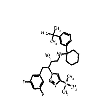 CC(C)(C)c1cccc(C2(NC[C@@H](O)[C@H](Cc3cc(F)cc(F)c3)n3cc([Si](C)(C)C)nn3)CCCCC2)c1